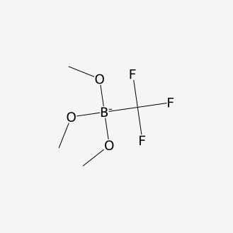 CO[B-](OC)(OC)C(F)(F)F